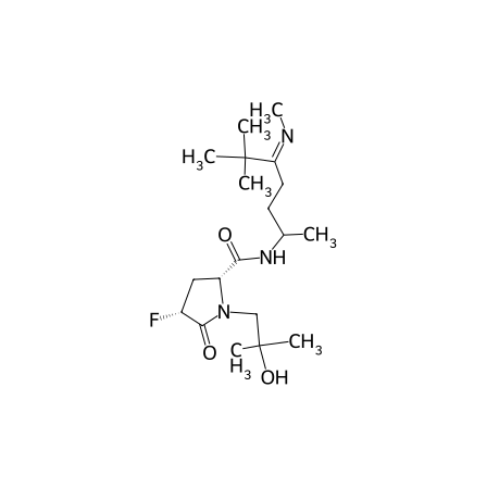 C/N=C(/CCC(C)NC(=O)[C@H]1C[C@@H](F)C(=O)N1CC(C)(C)O)C(C)(C)C